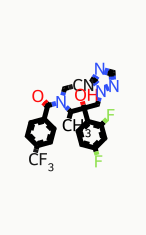 CC(N(CC#N)C(=O)c1ccc(C(F)(F)F)cc1)C(O)(Cn1cncn1)c1ccc(F)cc1F